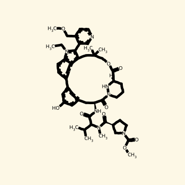 CCn1c(-c2cnccc2COC)c2c3cc(ccc31)-c1cc(O)cc(c1)C[C@H](NC(=O)C(C(C)C)N(C)C(=O)[C@H]1CCN(C(=O)OC)C1)C(=O)N1CCC[C@H](N1)C(=O)OCC(C)(C)C2